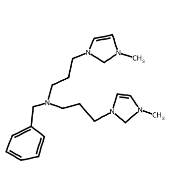 CN1C=CN(CCCN(CCCN2C=CN(C)C2)Cc2ccccc2)C1